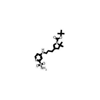 CC(C)(C)OC(=O)N1CC(CCCNc2ccnc(S(N)(=O)=O)c2)CC1(C)C